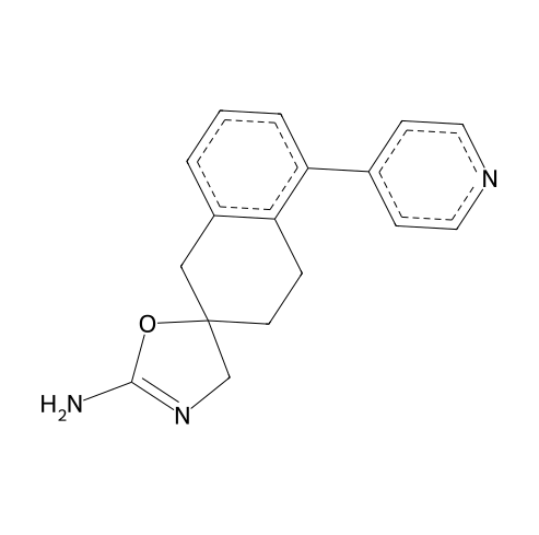 NC1=NCC2(CCc3c(cccc3-c3ccncc3)C2)O1